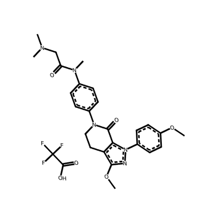 COc1ccc(-n2nc(OC)c3c2C(=O)N(c2ccc(N(C)C(=O)CN(C)C)cc2)CC3)cc1.O=C(O)C(F)(F)F